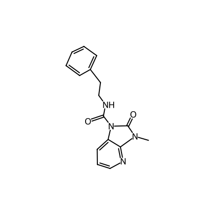 Cn1c(=O)n(C(=O)NCCc2ccccc2)c2cccnc21